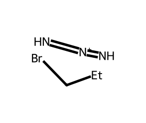 CCCBr.N=[N+]=N